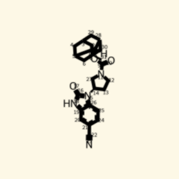 C[C@]12CC3CC(C1)[C@@H](OC(=O)N1CC[C@@H](n4c(=O)[nH]c5cc(C#N)ccc54)C1)C(C3)C2